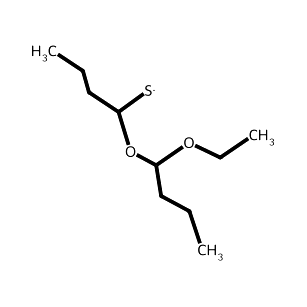 CCCC([S])OC(CCC)OCC